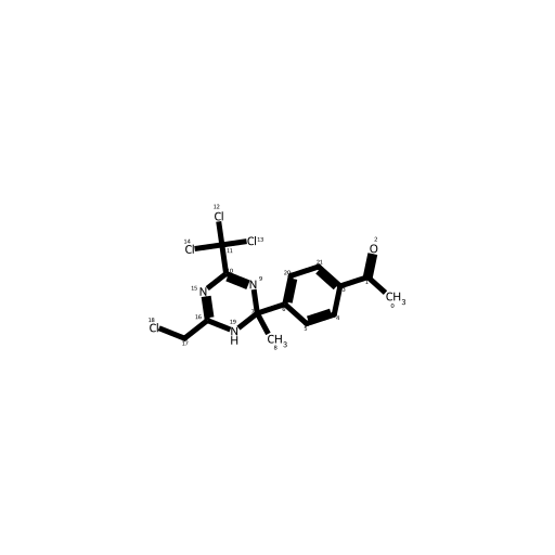 CC(=O)c1ccc(C2(C)N=C(C(Cl)(Cl)Cl)N=C(CCl)N2)cc1